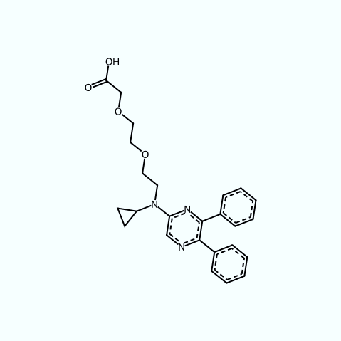 O=C(O)COCCOCCN(c1cnc(-c2ccccc2)c(-c2ccccc2)n1)C1CC1